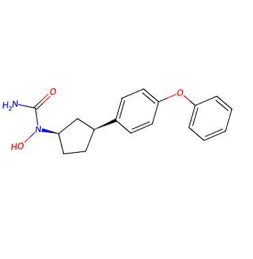 NC(=O)N(O)[C@@H]1CC[C@H](c2ccc(Oc3ccccc3)cc2)C1